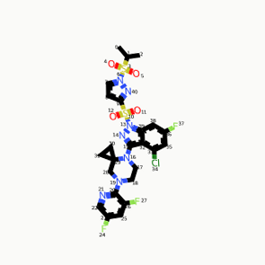 CC(C)S(=O)(=O)n1ccc(S(=O)(=O)n2nc(N3CCN(c4ncc(F)cc4F)CC34CC4)c3c(Cl)cc(F)cc32)n1